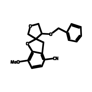 COc1ccc(C#N)c2c1OC1(COCC1OCc1ccccc1)C2